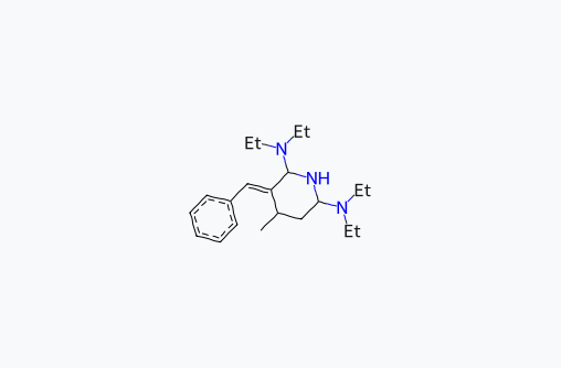 CCN(CC)C1CC(C)C(=Cc2ccccc2)C(N(CC)CC)N1